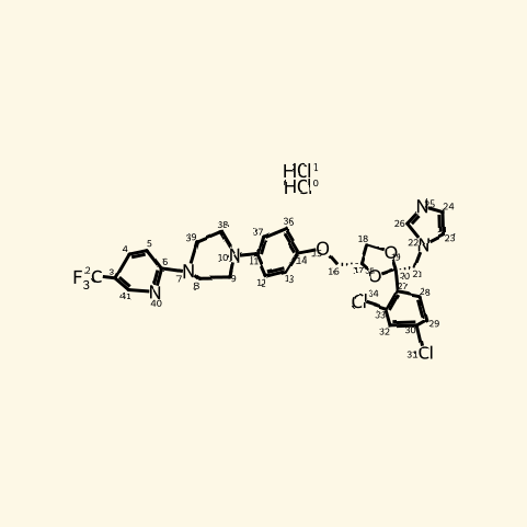 Cl.Cl.FC(F)(F)c1ccc(N2CCN(c3ccc(OC[C@@H]4CO[C@@](Cn5ccnc5)(c5ccc(Cl)cc5Cl)O4)cc3)CC2)nc1